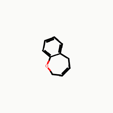 [CH]1C=CCc2ccccc2O1